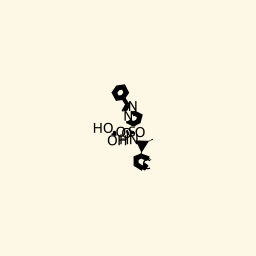 C[C@H]1[C@H](NS(=O)(=O)c2ccc3nc(-c4ccccc4)cn3c2)[C@H]1c1ccccc1.O=C(O)O